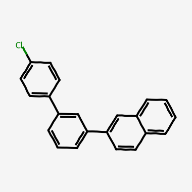 Clc1ccc(-c2cccc(-c3ccc4ccccc4c3)c2)cc1